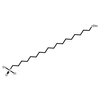 CCCCCCCCCCCCCCCCCCCCCCCCCCCCP(=O)(CC)CC